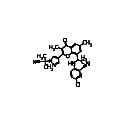 Cc1cc(C(C)Nc2ccc(Cl)nc2C#N)c2oc(-c3cnn(C(C)(C)C#N)c3)c(C)c(=O)c2c1